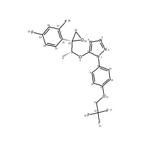 C[C@@H](Oc1nnnn1-c1ccc(OCC(F)(F)F)cc1)[C@@]1(c2ccc(F)cc2F)CO1